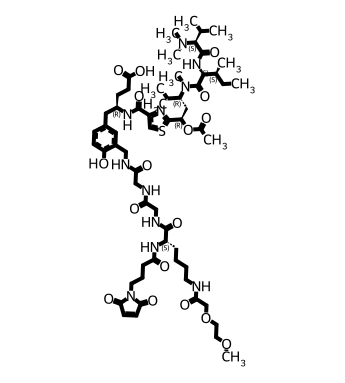 CC[C@H](C)[C@H](NC(=O)[C@H](C(C)C)N(C)C)C(=O)N(C)[C@H](C[C@@H](OC(C)=O)c1nc(C(=O)N[C@H](CCC(=O)O)Cc2ccc(O)c(CNC(=O)CNC(=O)CNC(=O)[C@H](CCCCNC(=O)COCCOC)NC(=O)CCCN3C(=O)C=CC3=O)c2)cs1)C(C)C